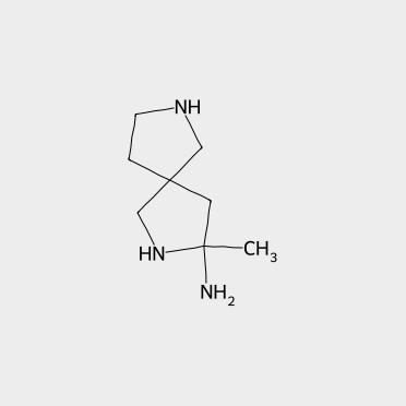 CC1(N)CC2(CCNC2)CN1